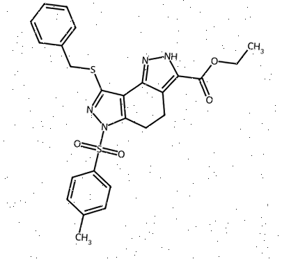 CCOC(=O)c1[nH]nc2c1CCc1c-2c(SCc2ccccc2)nn1S(=O)(=O)c1ccc(C)cc1